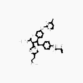 C=C(F)C(=O)Nc1ccc(-c2c(-c3ccc(Oc4nccc(C)n4)cc3)c(C(N)=O)c3cnc(CCO)cn23)cc1